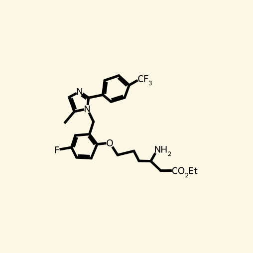 CCOC(=O)CC(N)CCCOc1ccc(F)cc1Cn1c(C)cnc1-c1ccc(C(F)(F)F)cc1